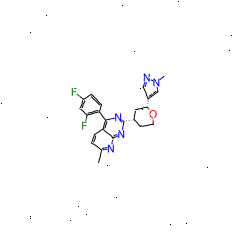 Cc1ccc2c(-c3ccc(F)cc3F)nc([C@H]3CCO[C@@H](c4cnn(C)c4)C3)nc2n1